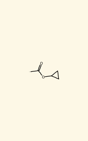 [CH2]C(=O)OC1CC1